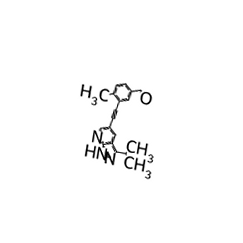 Cc1ccc(C=O)cc1C#Cc1cnc2[nH]nc(C(C)C)c2c1